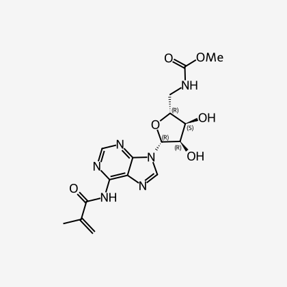 C=C(C)C(=O)Nc1ncnc2c1ncn2[C@@H]1O[C@H](CNC(=O)OC)[C@@H](O)[C@H]1O